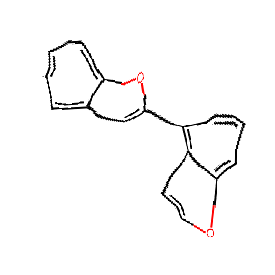 [c]1ccc2oc(-c3cccc4occc34)cc2c1